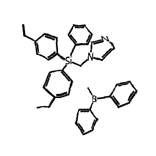 CB(c1ccccc1)c1ccccc1.CCc1ccc([Si](Cn2ccnc2)(c2ccccc2)c2ccc(CC)cc2)cc1